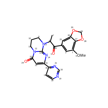 COc1cc(C(=O)C(C)N2CCCn3c2nc(-c2ccncn2)cc3=O)cc2c1OCO2